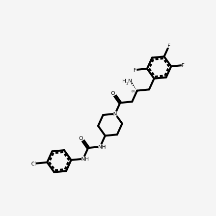 N[C@@H](CC(=O)N1CCC(NC(=O)Nc2ccc(Cl)cc2)CC1)Cc1cc(F)c(F)cc1F